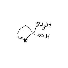 O=S(=O)(O)[C]1(S(=O)(=O)O)CC[CH]=[In]1